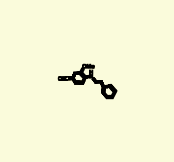 COC1=C(NCCc2ccccc2)C=CC(=C=O)C1